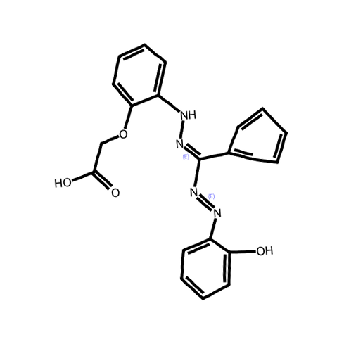 O=C(O)COc1ccccc1N/N=C(/N=N/c1ccccc1O)c1ccccc1